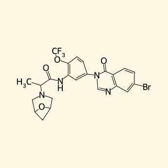 CC(C(=O)Nc1cc(-n2cnc3cc(Br)ccc3c2=O)ccc1OC(F)(F)F)N1CC2CC(C1)O2